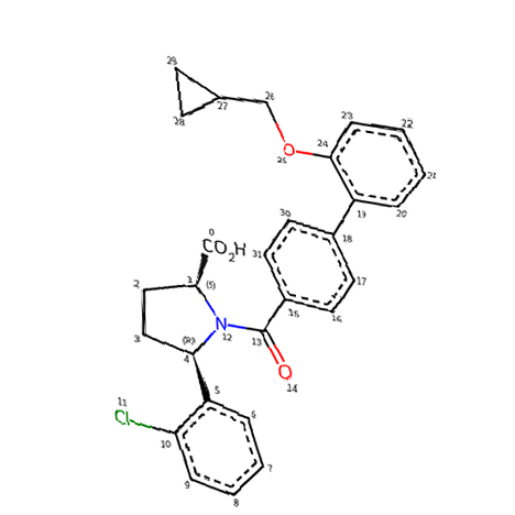 O=C(O)[C@@H]1CC[C@H](c2ccccc2Cl)N1C(=O)c1ccc(-c2ccccc2OCC2CC2)cc1